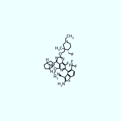 CCN1CC[C@H](CF)[C@](C)(COc2nc(N3C[C@H]4CC[C@@H](C3)N4)c3c(OC)nc(-c4c(C(F)(F)F)ccc5sc(N)c(C#N)c45)c(F)c3n2)C1